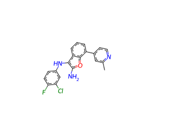 Cc1cc(-c2cccc3c(Nc4ccc(F)c(Cl)c4)c(N)oc23)ccn1